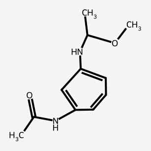 COC(C)Nc1cccc(NC(C)=O)c1